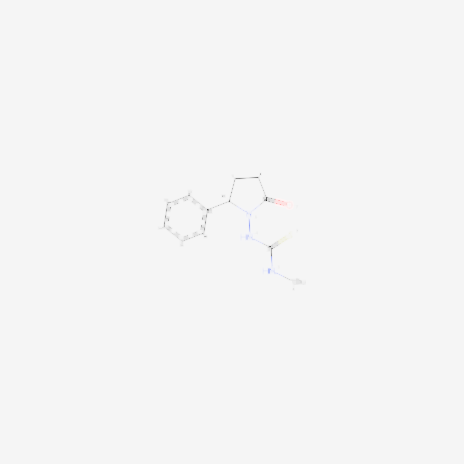 CC(C)(C)NC(=S)NN1C(=O)CCC1c1ccccc1